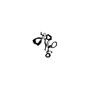 CCC(=O)N(c1ccccc1)C1CC(C)N(C(=O)c2cc3ccccc3o2)c2ccccc21